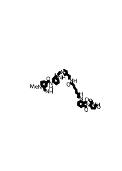 CNc1ccc(C(=O)Nc2ccc3[nH]c(CN4CCC(CCNC(=O)CCCCCCNc5cccc6c5C(=O)N(C5CCC(=O)NC5=O)C6=O)C4)nc3c2)cc1C=N